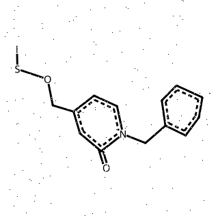 O=c1cc(COSI)ccn1Cc1ccccc1